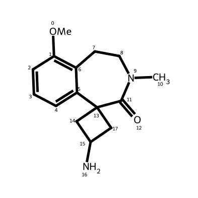 COc1cccc2c1CCN(C)C(=O)C21CC(N)C1